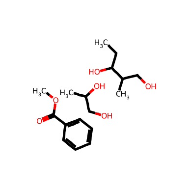 CC(O)CO.CCC(O)C(C)CO.COC(=O)c1ccccc1